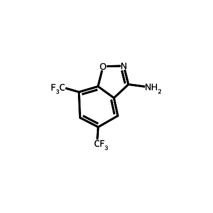 Nc1noc2c(C(F)(F)F)cc(C(F)(F)F)cc12